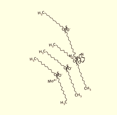 CCCCCCCCCCCCOP([O-])(=S)SCCCCCCCCCCCC.CCCCCCCCCCCCOP([O-])(=S)SCCCCCCCCCCCC.CCCCCCCCCCCCOP([O-])(=S)SCCCCCCCCCCCC.CCCCCCCCCCCCOP([O-])(=S)SCCCCCCCCCCCC.[Mo+4].c1ccc2[nH]cnc2c1